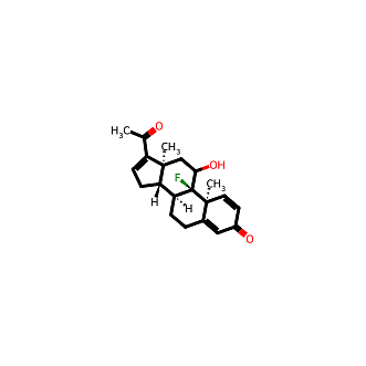 CC(=O)C1=CC[C@H]2[C@@H]3CCC4=CC(=O)C=C[C@]4(C)[C@@]3(F)C(O)C[C@]12C